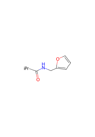 CC(C)C(=O)NCc1ccco1